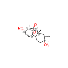 C=C1C[C@]2(C)C(CCC1(C)O)[C@@]13C=C[C@H](O)[C@@](C)(C(=O)O1)C3[C@@H]2C